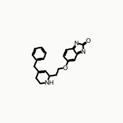 O=C1N=c2ccc(OCCC3C=C(Cc4ccccc4)CCN3)cc2=N1